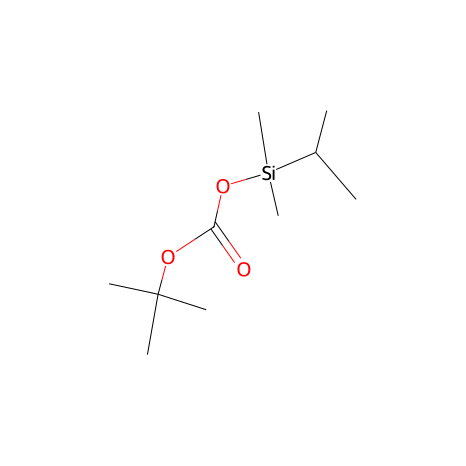 CC(C)[Si](C)(C)OC(=O)OC(C)(C)C